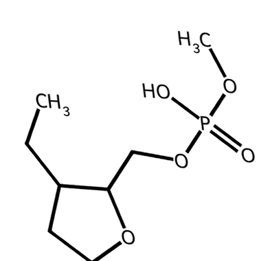 CCC1CCOC1COP(=O)(O)OC